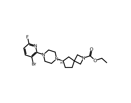 CCOC(=O)N1CC2(CC[C@@H](N3CCN(c4nc(F)ccc4Br)CC3)C2)C1